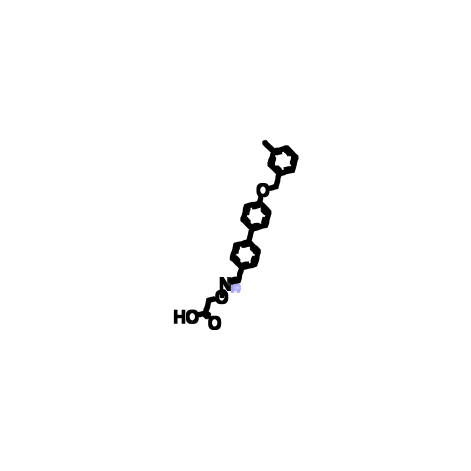 Cc1cccc(COc2ccc(-c3ccc(/C=N/OCC(=O)O)cc3)cc2)c1